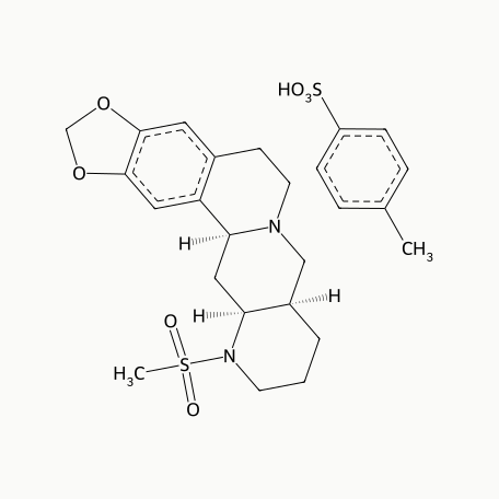 CS(=O)(=O)N1CCC[C@@H]2CN3CCc4cc5c(cc4[C@@H]3C[C@@H]21)OCO5.Cc1ccc(S(=O)(=O)O)cc1